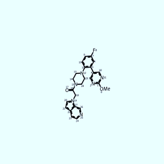 COc1ncc(-c2cc(F)ccc2N2CCN(C(=O)Cn3ccc4ccncc43)CC2)cn1